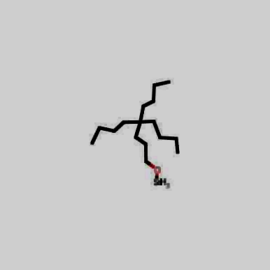 CCCCC(CCCC)(CCCC)CCCO[SiH3]